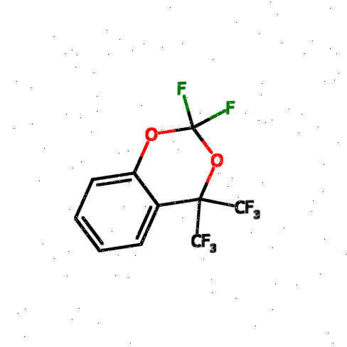 FC1(F)Oc2ccccc2C(C(F)(F)F)(C(F)(F)F)O1